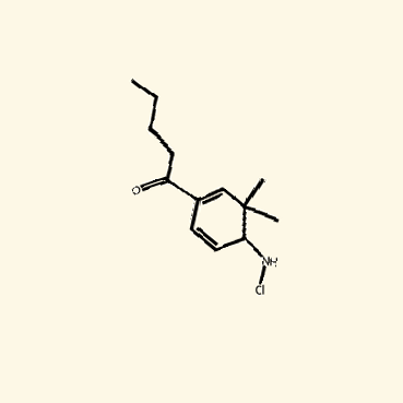 CCCCC(=O)C1=CC(C)(C)C(NCl)C=C1